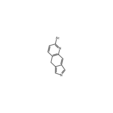 CC(=O)c1ccc2c(n1)C=C1C=NC=C1C2